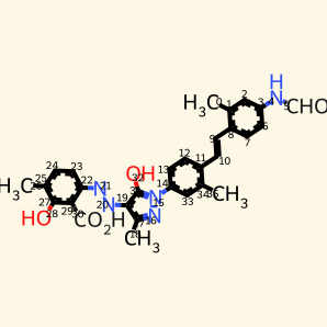 Cc1cc(NC=O)ccc1C=Cc1ccc(-n2nc(C)c(N=Nc3ccc(C)c(O)c3C(=O)O)c2O)cc1C